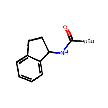 CCCCC(=O)NC1C[C]c2ccccc21